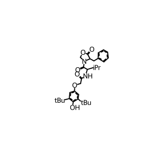 CC(C)C(NC(=O)COc1cc(C(C)(C)C)c(O)c(C(C)(C)C)c1)C(=O)N1COC(=O)C1Cc1ccccc1